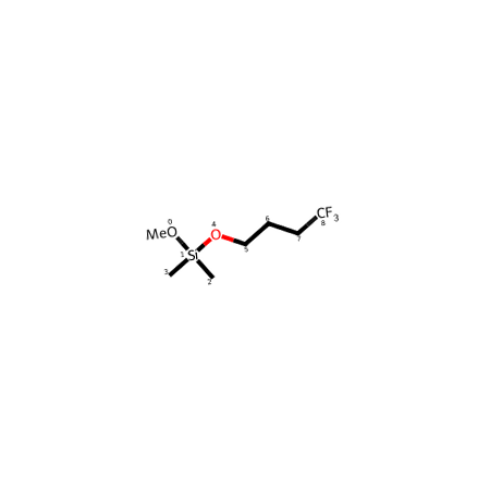 CO[Si](C)(C)OCCCC(F)(F)F